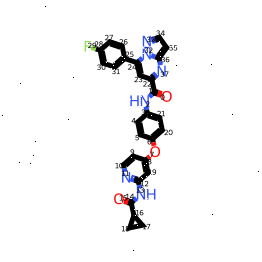 O=C(Nc1ccc(Oc2ccnc(NC(=O)C3CC3)c2)cc1)c1cc(-c2ccc(F)cc2)n2nccc2n1